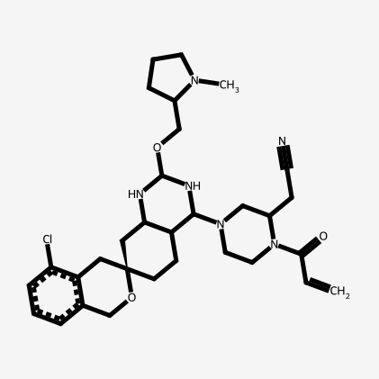 C=CC(=O)N1CCN(C2NC(OCC3CCCN3C)NC3C[C@]4(CCC32)Cc2c(Cl)cccc2CO4)CC1CC#N